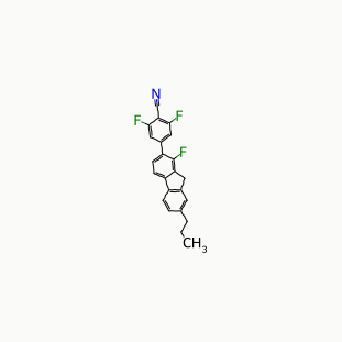 CCCc1ccc2c(c1)Cc1c-2ccc(-c2cc(F)c(C#N)c(F)c2)c1F